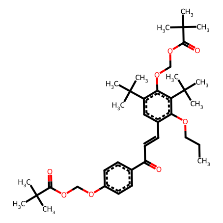 CCCOc1c(C=CC(=O)c2ccc(OCOC(=O)C(C)(C)C)cc2)cc(C(C)(C)C)c(OCOC(=O)C(C)(C)C)c1C(C)(C)C